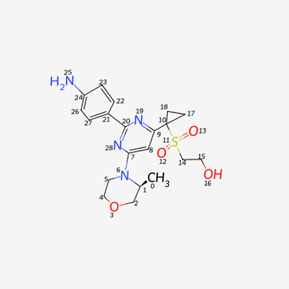 C[C@H]1COCCN1c1cc(C2(S(=O)(=O)CCO)CC2)nc(-c2ccc(N)cc2)n1